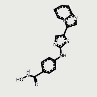 O=C(NO)c1ccc(Nc2ncc(-c3cnc4ccccn34)s2)cc1